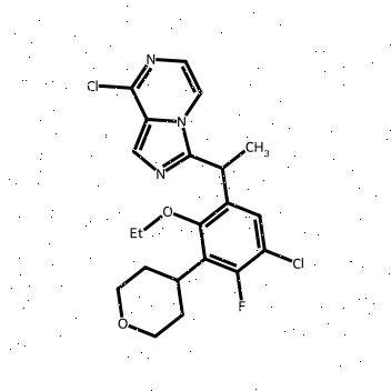 CCOc1c(C(C)c2ncc3c(Cl)nccn23)cc(Cl)c(F)c1C1CCOCC1